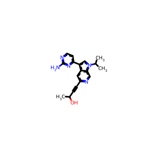 CC(O)C#Cc1cc2c(-c3ccnc(N)n3)cn(C(C)C)c2cn1